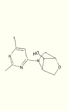 Cc1nc(I)cc(N2CC3OCC2C3O)n1